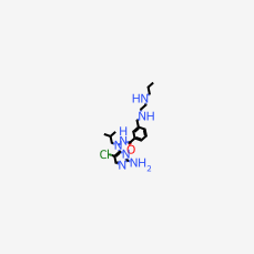 CCCNCCNCc1cccc(C(=O)NN(CC(C)C)c2nc(N)ncc2Cl)c1